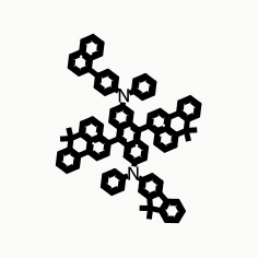 CC1(C)c2ccccc2-c2ccc(N(c3ccccc3)c3ccc4c(-c5ccc6c7c(cccc57)C(C)(C)c5ccccc5-6)c5cc(N(c6ccccc6)c6ccc(-c7cccc8ccccc78)cc6)ccc5c(-c5ccc6c7c(cccc57)C(C)(C)c5ccccc5-6)c4c3)cc21